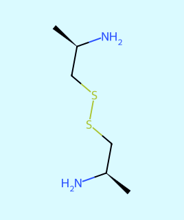 C[C@@H](N)CSSC[C@@H](C)N